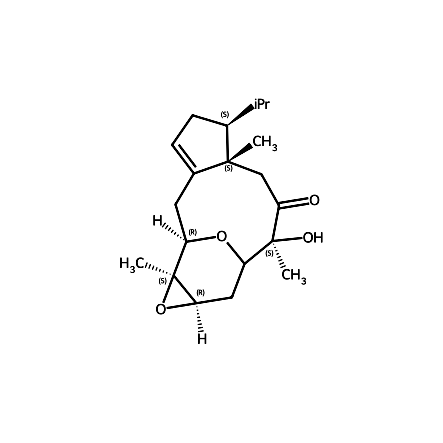 CC(C)[C@@H]1CC=C2C[C@H]3OC(C[C@H]4O[C@@]34C)[C@](C)(O)C(=O)C[C@]21C